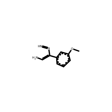 COc1cccc(/C(=C/N)N=N)c1